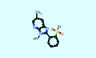 CCCn1c(-c2ccccc2S(=O)(=O)CC)nc2cc(C)cnc21